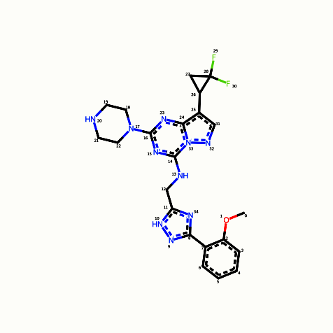 COc1ccccc1-c1n[nH]c(CNc2nc(N3CCNCC3)nc3c(C4CC4(F)F)cnn23)n1